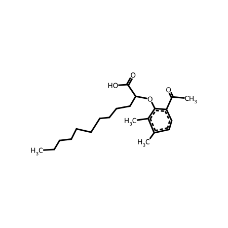 CCCCCCCCCCC(Oc1c(C(C)=O)ccc(C)c1C)C(=O)O